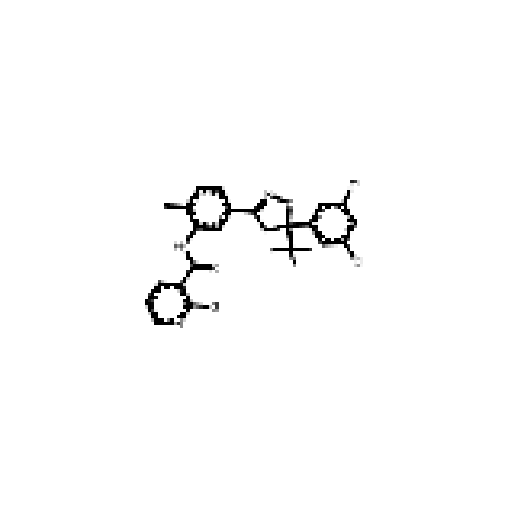 Cc1ccc(C2=NOC(c3cc(Cl)cc(Cl)c3)(C(F)(F)F)C2)cc1NC(=O)c1cccnc1Cl